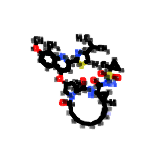 COc1ccc2c(O[C@@H]3C[C@H]4C(=O)N[C@]5(C(=O)NS(=O)(=O)C6(C)CC6)C[C@H]5/C=C\CCCCCC(=O)N4C3)cc(C3=NC(C(C)C)CS3)nc2c1C